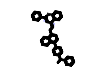 CC(c1ccccc1)c1ccc(-c2ccc(C/C=C(\C=C(/N)c3ccccc3)c3ccccc3)c3ccccc23)cc1